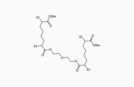 CCC(CCCCC(CC)C(=O)OCCOCCOC(=O)C(CC)CCCCC(CC)C(=O)OC)C(=O)OC